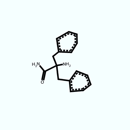 NC(=O)C(N)(Cc1ccccc1)Cc1ccccc1